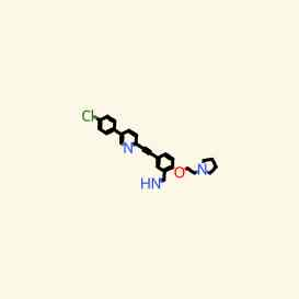 N=Cc1cc(C#Cc2ccc(-c3ccc(Cl)cc3)cn2)ccc1OCCN1CCCC1